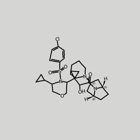 O=C(C(O)C1(C2COCC(C3CC3)N2S(=O)(=O)c2ccc(Cl)cc2)CC1)N1[C@@H]2CC[C@H]1C[C@H](N1CCCCC1)C2